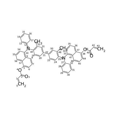 C=CC(=O)Oc1cccc2c(N(c3ccccc3)c3ccc(-c4ccc(N(c5ccccc5)c5cccc6c(OC(=O)C=C)cccc56)c(C)c4)cc3C)cccc12